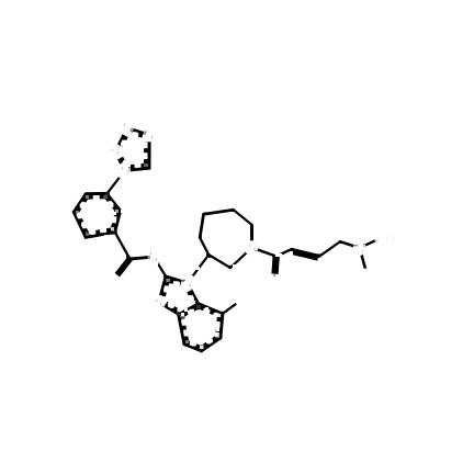 Cc1cccc2nc(NC(=O)c3cccc(-n4cnnn4)c3)n(C3CCCCN(C(=O)/C=C/CN(C)C)C3)c12